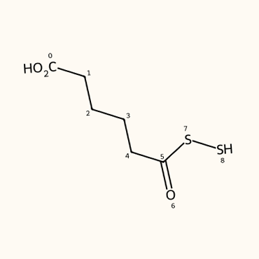 O=C(O)CCCCC(=O)SS